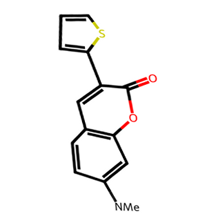 CNc1ccc2cc(-c3cccs3)c(=O)oc2c1